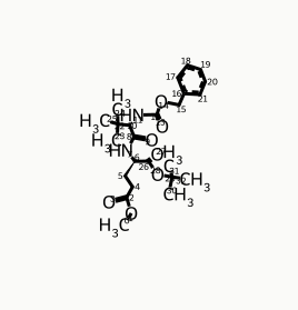 COC(=O)CC[C@@H](NC(=O)[C@@H](NC(=O)OCc1ccccc1)C(C)(C)C)C(=O)OC(C)(C)C